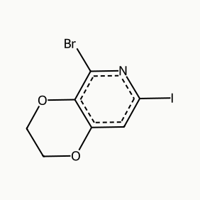 Brc1nc(I)cc2c1OCCO2